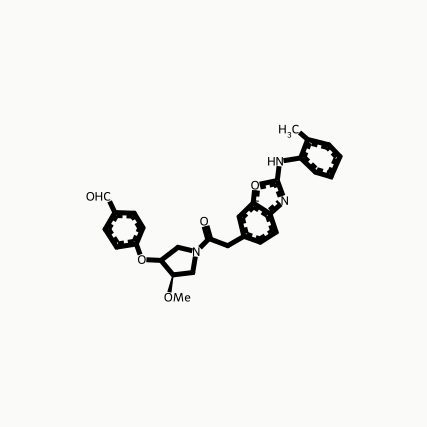 CO[C@@H]1CN(C(=O)Cc2ccc3nc(Nc4ccccc4C)oc3c2)CC1Oc1ccc(C=O)cc1